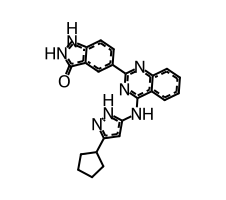 O=c1[nH][nH]c2ccc(-c3nc(Nc4cc(C5CCCC5)n[nH]4)c4ccccc4n3)cc12